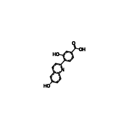 O=C(O)c1ccc(-c2ccc3cc(O)ccc3n2)c(O)c1